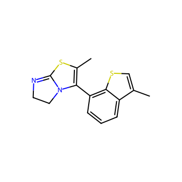 CC1=C(c2cccc3c(C)csc23)N2CCN=C2S1